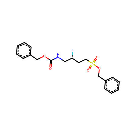 O=C(NC[C@@H](F)CCS(=O)(=O)OCc1ccccc1)OCc1ccccc1